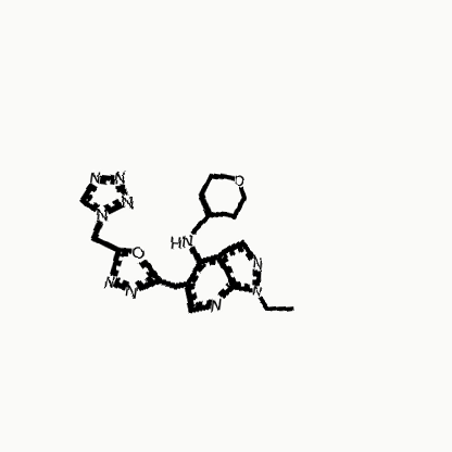 CCn1ncc2c(NC3CCOCC3)c(-c3nnc(Cn4cnnn4)o3)cnc21